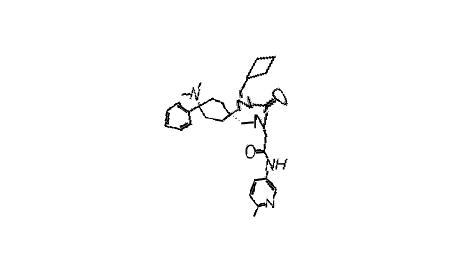 Cc1ccc(NC(=O)CN2C[C@]3(CC[C@@](c4ccccc4)(N(C)C)CC3)N(CC3CCC3)C2=O)cn1